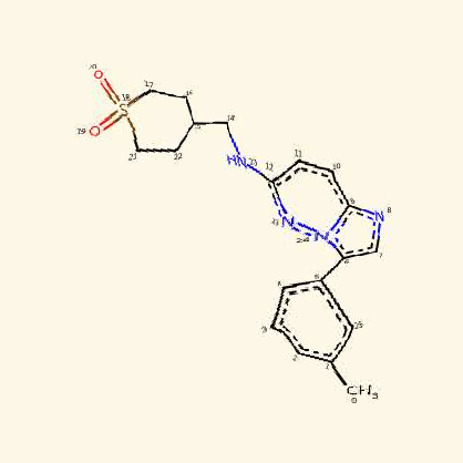 Cc1cccc(-c2cnc3ccc(NCC4CCS(=O)(=O)CC4)nn23)c1